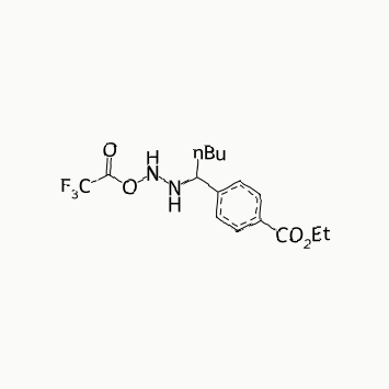 CCCCC(NNOC(=O)C(F)(F)F)c1ccc(C(=O)OCC)cc1